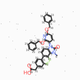 Cn1c(=O)n(-c2ccc(OCc3ccccc3)nc2OCc2ccccc2)c2ccc(-c3ccc(CC(=O)O)cc3F)c(F)c21